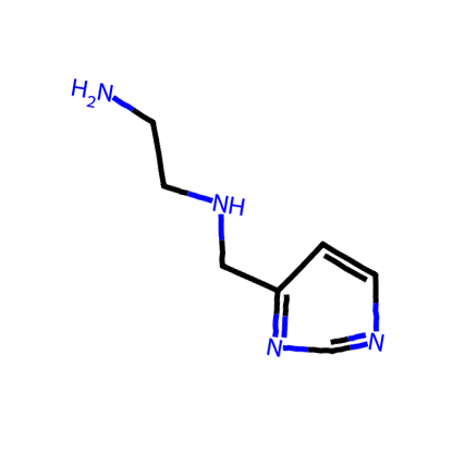 NCCNCc1ccncn1